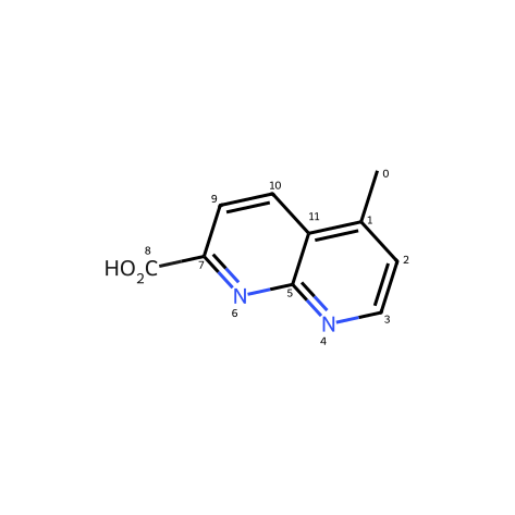 Cc1ccnc2nc(C(=O)O)ccc12